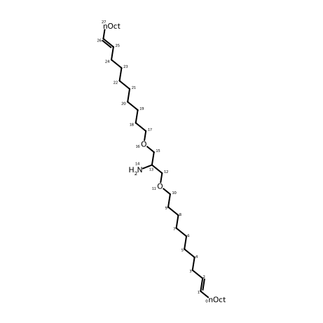 CCCCCCCCC=CCCCCCCCCOCC(N)COCCCCCCCCC=CCCCCCCCC